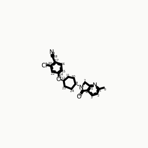 Cc1ccc2c(n1)CN([C@H]1CC[C@H](Oc3ccc(C#N)c(Cl)c3)CC1)C2=O